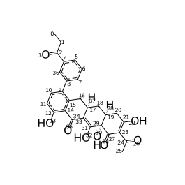 CCC(=O)c1cccc(-c2ccc(O)c3c2C[C@H]2C[C@H]4CC(O)=C(C(C)=O)C(=O)[C@@]4(O)C(O)=C2C3=O)c1